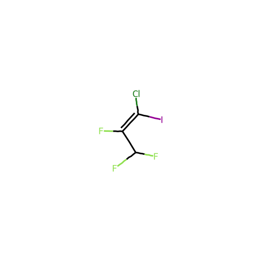 FC(=C(Cl)I)C(F)F